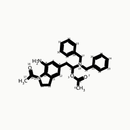 CC(=O)OC(Cc1cc(N)c2c(c1)CCN2C(C)=O)N(Cc1ccccc1)Cc1ccccc1